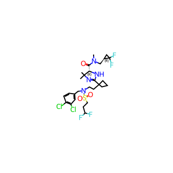 CN(C[C@H]1CC1(F)F)C(=O)[C@@H]1NC(C2(CCN(Cc3ccc(Cl)c(Cl)c3)S(=O)(=O)CCC(F)F)CCC2)=NC1(C)C